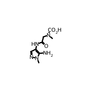 CN(CC(=O)Nc1cnn(C)c1N)C(=O)O